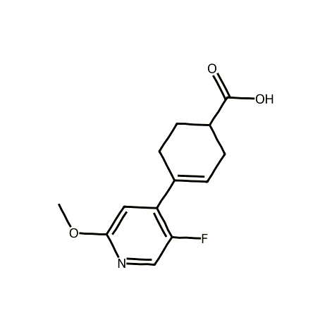 COc1cc(C2=CCC(C(=O)O)CC2)c(F)cn1